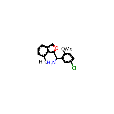 COc1ccc(Cl)cc1C(N)c1occ2cccc(C)c12